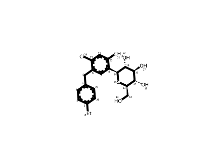 CCc1ccc(Cc2cc([C@@H]3S[C@H](CO)[C@@H](O)[C@H](O)[C@H]3O)c(C)cc2Cl)cc1